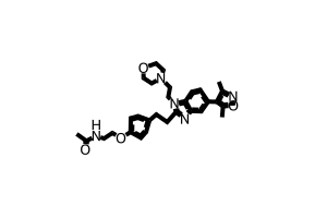 CC(=O)NCCOc1ccc(CCc2nc3cc(-c4c(C)noc4C)ccc3n2CCN2CCOCC2)cc1